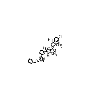 CC(NC(=O)c1cccc(-c2nnn(COCc3ccccc3)n2)c1)[C@@H](C)C(=O)N1CC[C@](O)(c2ccc(Cl)cc2)C(C)(C)C1